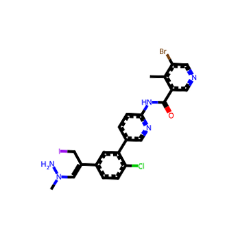 Cc1c(Br)cncc1C(=O)Nc1ccc(-c2cc(/C(=C/N(C)N)CI)ccc2Cl)cn1